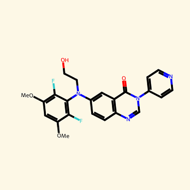 COc1cc(OC)c(F)c(N(CCO)c2ccc3ncn(-c4ccncc4)c(=O)c3c2)c1F